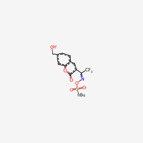 CCCCS(=O)(=O)O/N=C(\c1cc2ccc(CO)cc2oc1=O)C(F)(F)F